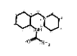 NC(=O)NC1CCCCC1CN1CCCCC1